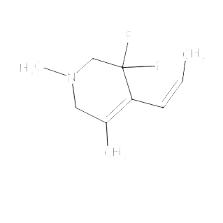 C/C=C\C1=C(C)CN(C)CC1(F)F